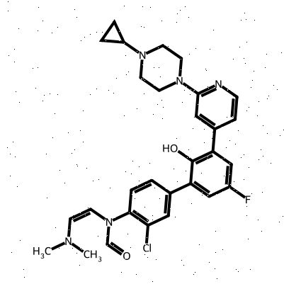 CN(C)/C=C\N(C=O)c1ccc(-c2cc(F)cc(-c3ccnc(N4CCN(C5CC5)CC4)c3)c2O)cc1Cl